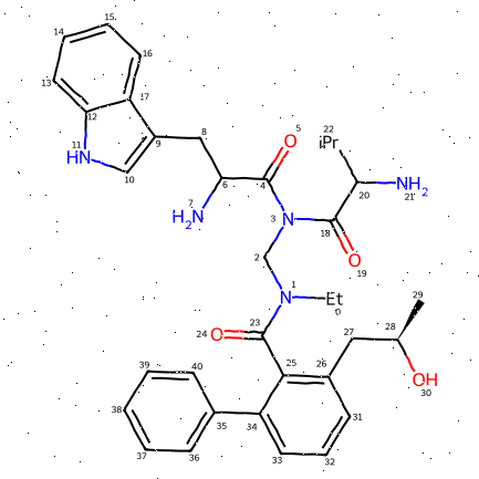 CCN(CN(C(=O)C(N)Cc1c[nH]c2ccccc12)C(=O)C(N)C(C)C)C(=O)c1c(C[C@@H](C)O)cccc1-c1ccccc1